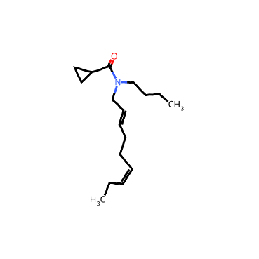 CC/C=C\CC/C=C/CN(CCCC)C(=O)C1CC1